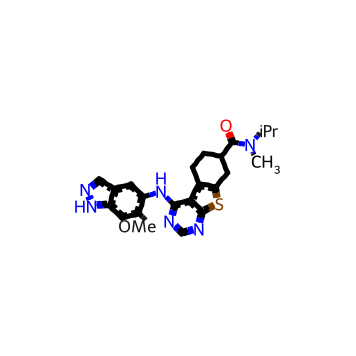 COc1cc2[nH]ncc2cc1Nc1ncnc2sc3c(c12)CCC(C(=O)N(C)C(C)C)C3